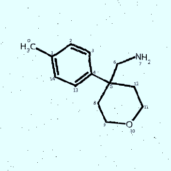 Cc1ccc(C2(CN)CCOCC2)cc1